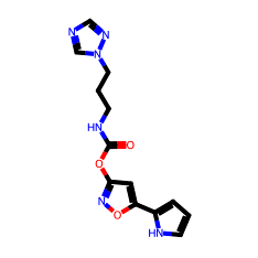 O=C(NCCCn1cncn1)Oc1cc(-c2ccc[nH]2)on1